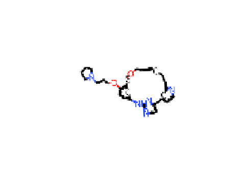 C1=C/COCc2cc(ccc2OCCCN2CCCC2)Nc2nccc(n2)-c2ccnc(c2)CCC/1